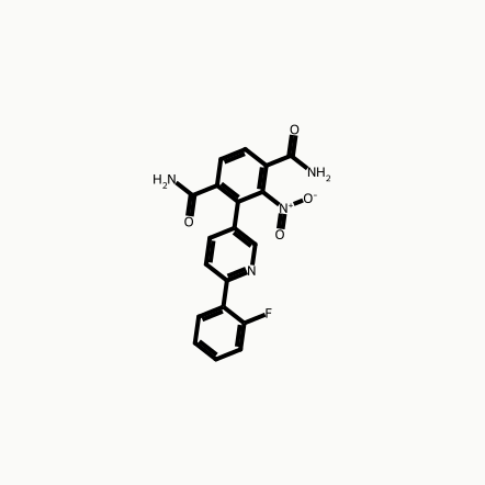 NC(=O)c1ccc(C(N)=O)c([N+](=O)[O-])c1-c1ccc(-c2ccccc2F)nc1